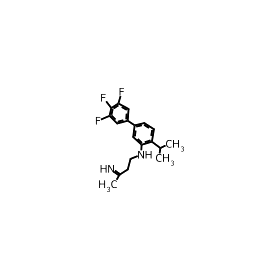 CC(=N)CCNc1cc(-c2cc(F)c(F)c(F)c2)ccc1C(C)C